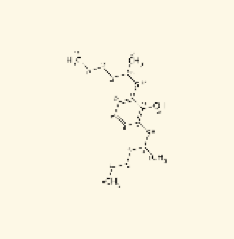 CCCCC(C)Sc1cccc(SC(C)CCCC)c1O